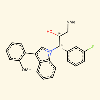 CNC[C@@H](O)[C@H](c1cccc(F)c1)n1cc(-c2ccccc2OC)c2ccccc21